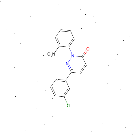 O=c1ccc(-c2cccc(Cl)c2)nn1-c1ccccc1[N+](=O)[O-]